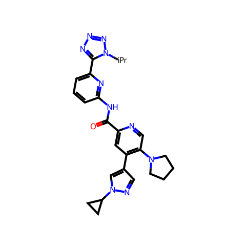 CC(C)n1nnnc1-c1cccc(NC(=O)c2cc(-c3cnn(C4CC4)c3)c(N3CCCC3)cn2)n1